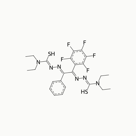 CCN(CC)/C(S)=N/N=C(/C(=N/N=C(\S)N(CC)CC)c1c(F)c(F)c(F)c(F)c1F)c1ccccc1